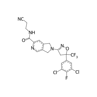 N#CCCNC(=O)c1cc2c(cn1)CN(C1=NOC(c3cc(Cl)c(F)c(Cl)c3)(C(F)(F)F)C1)C2